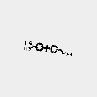 CC(C)(c1ccc(B(O)O)cc1)N1CCN(CCO)CC1